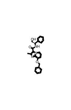 Cc1nc2c(OCc3ccccc3)cccn2c1C(=O)N[C@@H](CO)c1ccccc1